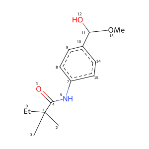 CCC(C)(C)C(=O)Nc1ccc(C(O)OC)cc1